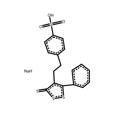 O=S(=O)(O)c1ccc(CCc2c(-c3ccccc3)ssc2=S)cc1.[NaH]